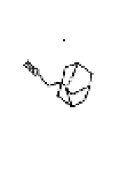 C#CCC12CC3CC(CC(C3)C1)C2